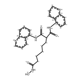 O=C(CCCCCC(C(=O)Nc1cccc2ncccc12)C(=O)Nc1cccc2ncccc12)NO